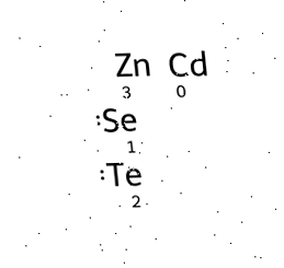 [Cd].[Se].[Te].[Zn]